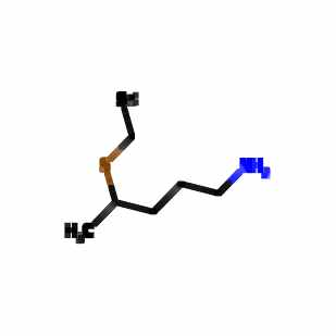 CC(CCCN)S[CH2][Sn]